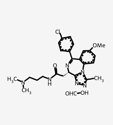 COc1ccc2c(c1)C(c1ccc(Cl)cc1)=N[C@@H](CC(=O)NCCCN(C)C)c1nnc(C)n1-2.O=CO